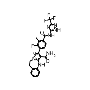 Cc1c(C(=O)Nc2nc(C(F)(F)F)n[nH]2)ccc(-c2nn3c(c2C(N)=O)Nc2ccccc2CC3)c1F